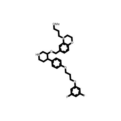 COCCCN1CCOc2ccc(COC3CNCCC3c3ccc(OCCCOc4cc(F)cc(F)c4)cc3)cc21